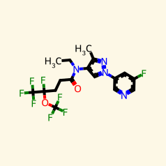 CCN(C(=O)CCC(F)(OC(F)(F)F)C(F)(F)F)c1cn(-c2cncc(F)c2)nc1C